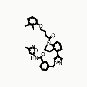 Cc1cc(NC(=O)c2cccc(Cn3cc(-c4cccc5c4CCCN5C(=O)CCCOc4cccc(C)c4C)cn3)c2)on1